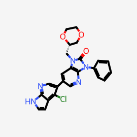 O=c1n(C[C@H]2COCCO2)c2cc(-c3cnc4[nH]ccc4c3Cl)cnc2n1-c1ccccc1